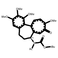 COc1cc2c(c(OC)c1OC)-c1ccc(OC)c(=O)cc1[C@@H](N(C(C)=O)C(=O)OC(C)(C)C)CC2